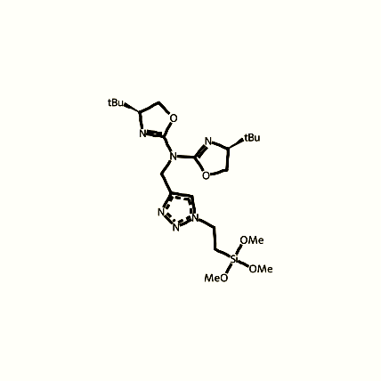 CO[Si](CCn1cc(CN(C2=N[C@@H](C(C)(C)C)CO2)C2=N[C@@H](C(C)(C)C)CO2)nn1)(OC)OC